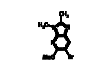 COc1nc2c(cc1Br)nc(C)n2C